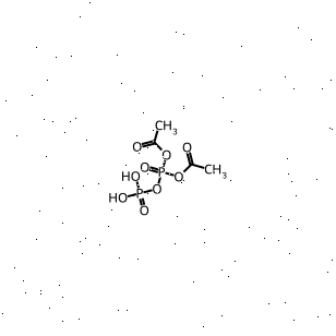 CC(=O)OP(=O)(OC(C)=O)OP(=O)(O)O